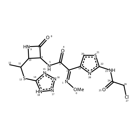 CON=C(C(=O)NC1C(=O)NC1C(C)Sc1nnn[nH]1)c1csc(NC(=O)CCl)n1